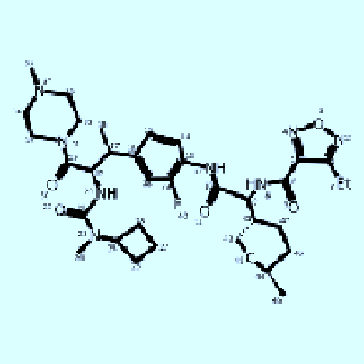 CCc1nonc1C(=O)N[C@H](C(=O)Nc1ccc([C@H](C)[C@@H](NC(=O)N(C)C2CCC2)C(=O)N2CCN(C)CC2)cc1F)[C@H]1CC[C@H](C)CC1